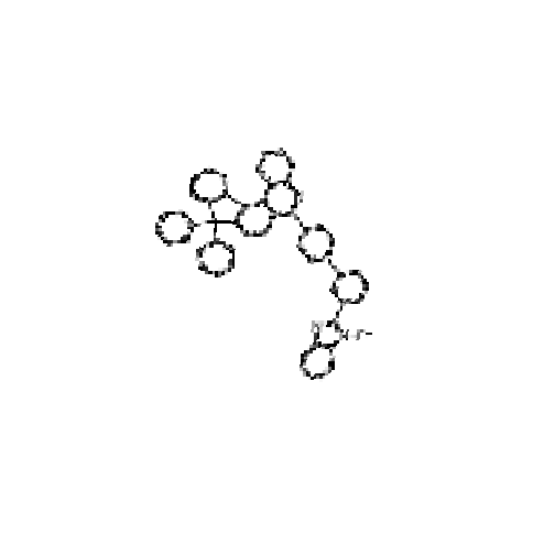 CCn1c(-c2cccc(-c3ccc(-c4nc5ccccc5c5c6c(ccc45)C(c4ccccc4)(c4ccccc4)c4ccccc4-6)cc3)c2)nc2ccccc21